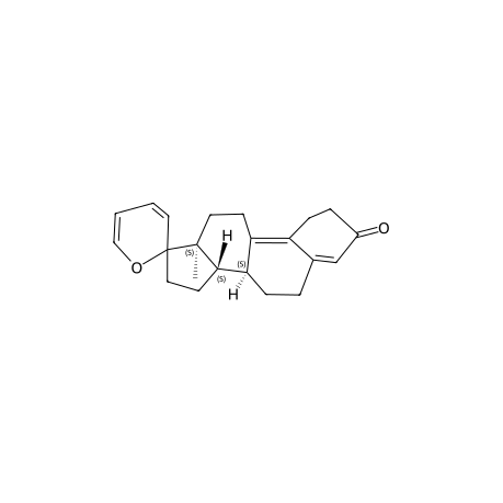 C[C@]12CCC3=C4CCC(=O)C=C4CC[C@H]3[C@@H]1CCC21C=CC=CO1